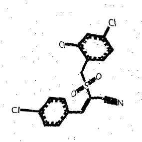 N#C/C(=C/c1ccc(Cl)cc1)S(=O)(=O)Cc1ccc(Cl)cc1Cl